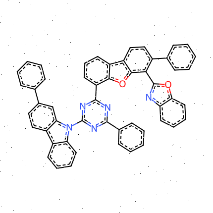 c1ccc(-c2ccc3c4ccccc4n(-c4nc(-c5ccccc5)nc(-c5cccc6c5oc5c(-c7nc8ccccc8o7)c(-c7ccccc7)ccc56)n4)c3c2)cc1